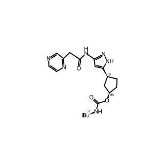 CC[C@H](C)NC(=O)O[C@@H]1CC[C@H](c2cc(NC(=O)Cc3cnccn3)n[nH]2)C1